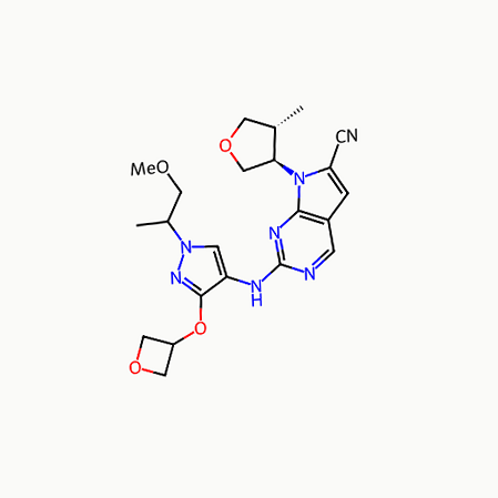 COCC(C)n1cc(Nc2ncc3cc(C#N)n([C@H]4COC[C@@H]4C)c3n2)c(OC2COC2)n1